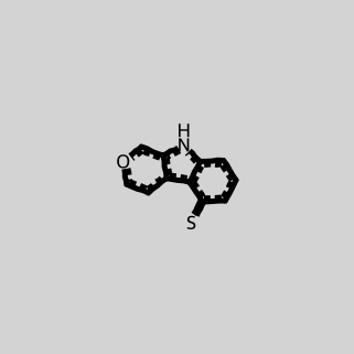 S=c1cccc2[nH]c3coccc3c12